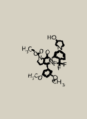 CCOC(=O)N1CCc2c(-c3cc(OC)cc(OC)c3)nn(-c3cc(N4CCC(O)C4)ccc3C(F)(F)F)c(=O)c21